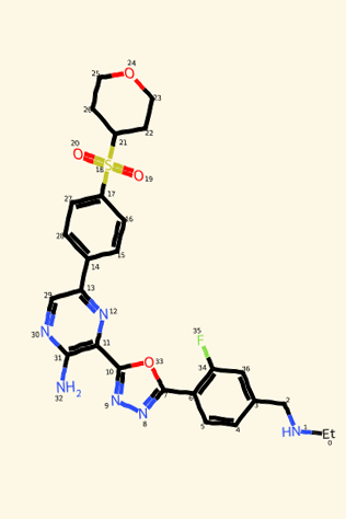 CCNCc1ccc(-c2nnc(-c3nc(-c4ccc(S(=O)(=O)C5CCOCC5)cc4)cnc3N)o2)c(F)c1